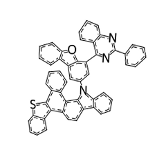 c1ccc(-c2nc(-c3cc(-n4c5ccccc5c5ccc6c7c8ccccc8sc7c7ccccc7c6c54)cc4c3oc3ccccc34)c3ccccc3n2)cc1